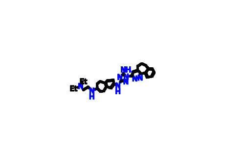 CCN(CC)CCNC1CCc2ccc(Nc3nc(N)n(-c4cc5c(nn4)-c4ccccc4CCC5)n3)cc2CC1